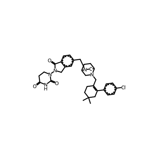 CC1(C)CCC(CN2CC3CCC2CN3Cc2ccc3c(c2)CN(N2CCC(=O)NC2=O)C3=O)=C(c2ccc(Cl)cc2)C1